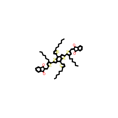 CCCCCCc1ccc(-c2c3cc(-c4sc(C=C5C(=O)c6ccccc6C5=O)cc4CCCCCC)sc3c(-c3ccc(CCCCCC)s3)c3cc(-c4sc(C=C5C(=O)c6ccccc6C5=O)cc4CCCCCC)sc23)s1